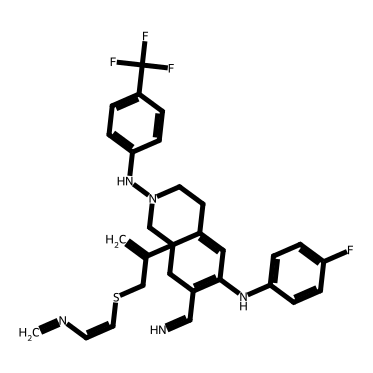 C=N/C=C\SCC(=C)C12CC(C=N)=C(Nc3ccc(F)cc3)C=C1CCN(Nc1ccc(C(F)(F)F)cc1)C2